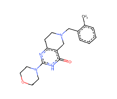 Cc1ccccc1CN1CCc2nc(N3CCOCC3)[nH]c(=O)c2C1